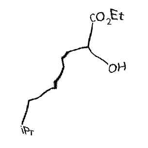 CCOC(=O)C(O)CCCC(C)C